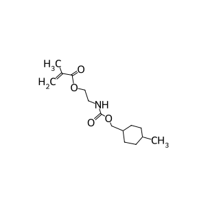 C=C(C)C(=O)OCCNC(=O)OCC1CCC(C)CC1